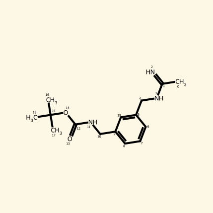 CC(=N)NCc1cccc(CNC(=O)OC(C)(C)C)c1